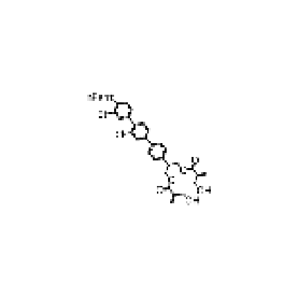 C=C(CO)C(=O)OCC(COC(=O)C(=C)CO)c1ccc(-c2ccc(-c3ccc(CCCCC)c(CC)c3)c(Cl)c2)cc1